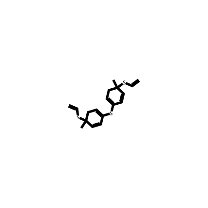 C=CSC1(C)C=CC(SC2=CCC(C)(SC=C)C=C2)=CC1